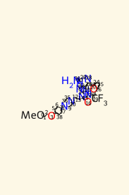 COCCOc1ccc(N2CCN(CCN3C(=O)N(CC(F)(F)F)N4C5=C(c6ccco6)N=CN(N)C5=NC34)CC2)cc1